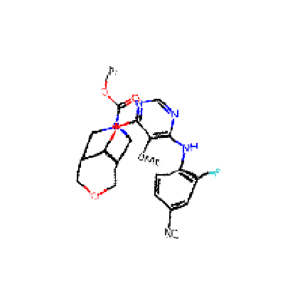 [C-]#[N+]c1ccc(Nc2ncnc(OC3C4COCC3CN(C(=O)OC(C)C)C4)c2OC)c(F)c1